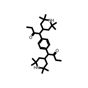 CCC(=O)C(c1ccc(C(C(=O)CC)C2CC(C)(C)NC(C)(C)C2)cc1)C1CC(C)(C)NC(C)(C)C1